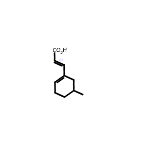 CC1CCC=C(/C=C/C(=O)O)C1